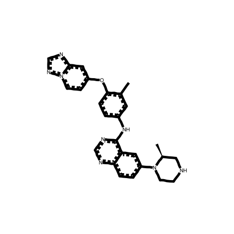 Cc1cc(Nc2ncnc3ccc(N4CCNC[C@@H]4C)cc23)ccc1Oc1ccn2ncnc2c1